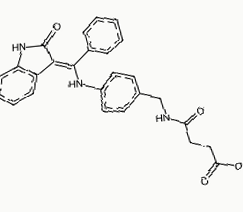 O=C(O)CCC(=O)NCc1ccc(NC(=C2C(=O)Nc3ccccc32)c2ccccc2)cc1